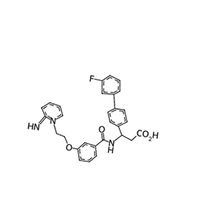 N=c1ccccn1CCOc1cccc(C(=O)NC(CC(=O)O)c2ccc(-c3cccc(F)c3)cc2)c1